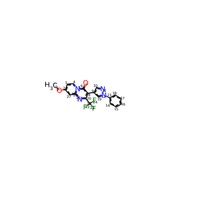 COc1ccn2c(=O)c(-c3cnn(-c4ccccc4)c3)c(C(F)(F)F)nc2c1